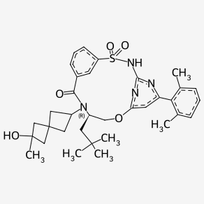 Cc1cccc(C)c1-c1cc2nc(n1)NS(=O)(=O)c1cccc(c1)C(=O)N(C1CC3(C1)CC(C)(O)C3)[C@H](CC(C)(C)C)CO2